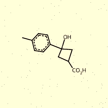 Cc1ccc(C2(O)CC(C(=O)O)C2)cc1